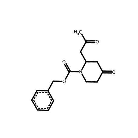 CC(=O)CC1CC(=O)CCN1C(=O)OCc1ccccc1